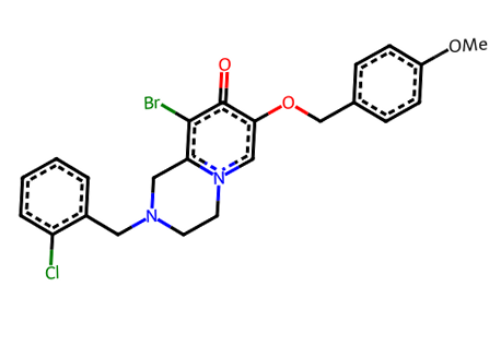 COc1ccc(COc2cn3c(c(Br)c2=O)CN(Cc2ccccc2Cl)CC3)cc1